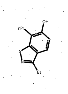 CCCc1c(O)ccc2c(CC)nsc12